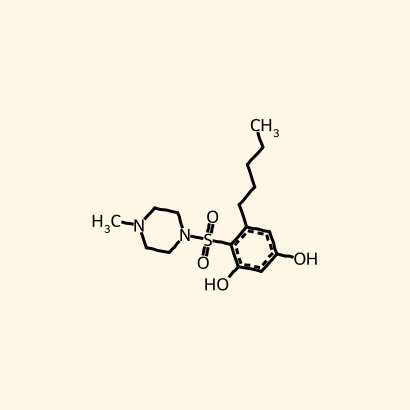 CCCCCc1cc(O)cc(O)c1S(=O)(=O)N1CCN(C)CC1